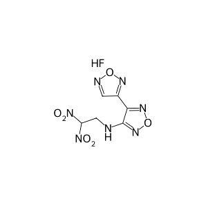 F.O=[N+]([O-])C(CNc1nonc1-c1cnon1)[N+](=O)[O-]